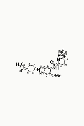 COc1cc2nn([C@H]3CC[C@H](C(C)I)CC3)cc2cc1NC(=O)c1cccc(S(F)(F)(F)(F)F)n1